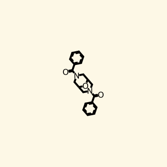 O=C(c1ccccc1)N1CC2CN(C(=O)c3ccccc3)CC(C1)O2